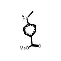 COC(=O)c1ccc([SH](C)C)cc1